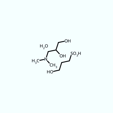 CN(C)CC(O)CO.O.O=S(=O)(O)CCCO